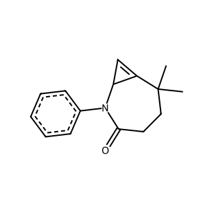 CC1(C)CCC(=O)N(c2ccccc2)C2C=C21